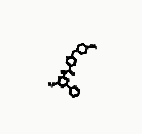 Cc1nc(NC(=O)c2ccc(CN3CCN(C)CC3)nc2)nc(-c2ccccn2)n1